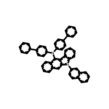 c1ccc(-c2ccc(N(c3ccc(-c4ccccc4)cc3)c3c4ccccc4cc4c3c3ccccc3n4-c3ccc4ccccc4c3)cc2)cc1